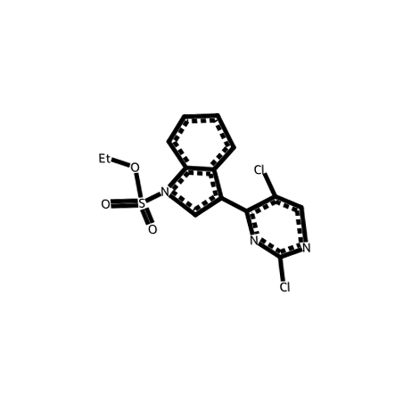 CCOS(=O)(=O)n1cc(-c2nc(Cl)ncc2Cl)c2ccccc21